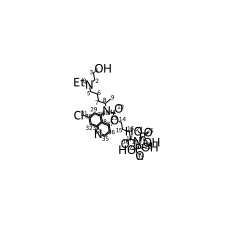 CCN(CCO)CCCC(C)N(C(=O)OCCCC(=O)N(P(=O)(O)O)P(=O)(O)O)c1cc(Cl)cc2ncccc12